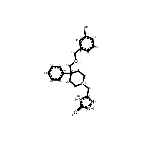 O=c1[nH]nc(CN2CCC(COCc3cccc(I)c3)(c3ccccc3)CC2)[nH]1